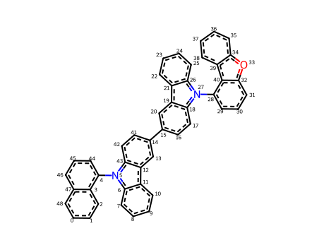 c1ccc2c(-n3c4ccccc4c4cc(-c5ccc6c(c5)c5ccccc5n6-c5cccc6oc7ccccc7c56)ccc43)cccc2c1